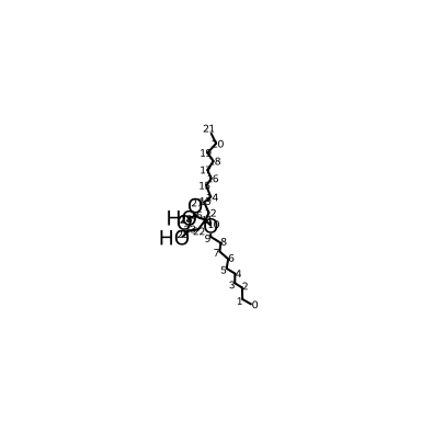 CCCCCCCCCCOC(CCCCCCCCCC)(CC(=O)O)C(=O)O